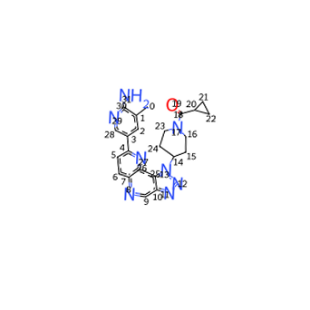 Cc1cc(-c2ccc3ncc4nnn(C5CCN(C(=O)C6CC6)CC5)c4c3n2)cnc1N